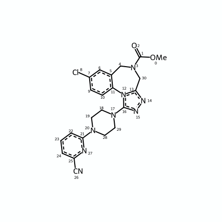 COC(=O)N1Cc2cc(Cl)ccc2-n2c(nnc2N2CCN(c3cccc(C#N)n3)CC2)C1